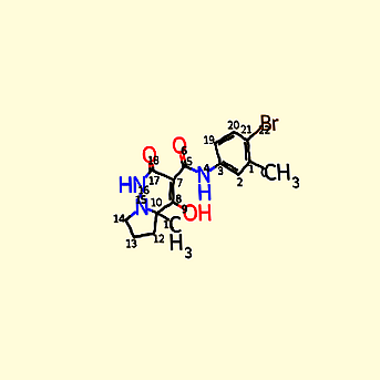 Cc1cc(NC(=O)C2=C(O)C3(C)CCCN3NC2=O)ccc1Br